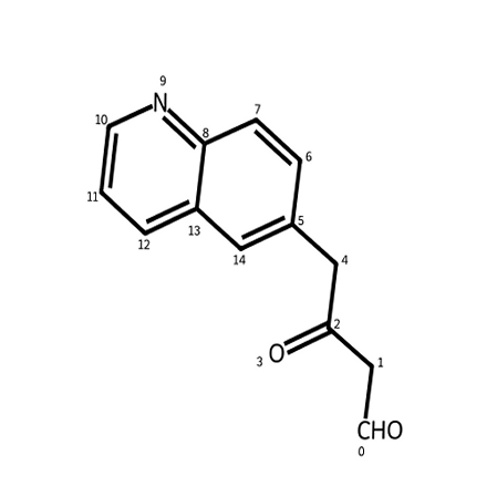 O=CCC(=O)Cc1ccc2ncccc2c1